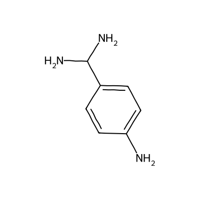 Nc1ccc(C(N)N)cc1